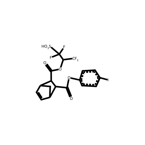 O=C(Oc1ccc(I)cc1)C1C2C=CC(C2)C1C(=O)OC(C(F)(F)F)C(F)(F)S(=O)(=O)O